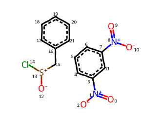 O=[N+]([O-])c1cccc([N+](=O)[O-])c1.[O-][S+](Cl)Cc1ccccc1